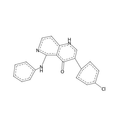 O=c1c(-c2ccc(Cl)cc2)c[nH]c2ccnc(Nc3ccccc3)c12